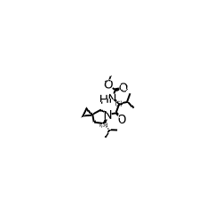 COC(=O)N[C@H](C(=O)N1CC2(CC2)C[C@H]1C(C)C)C(C)C